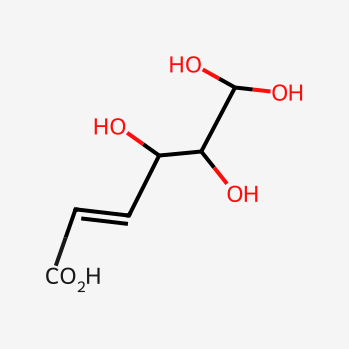 O=C(O)C=CC(O)C(O)C(O)O